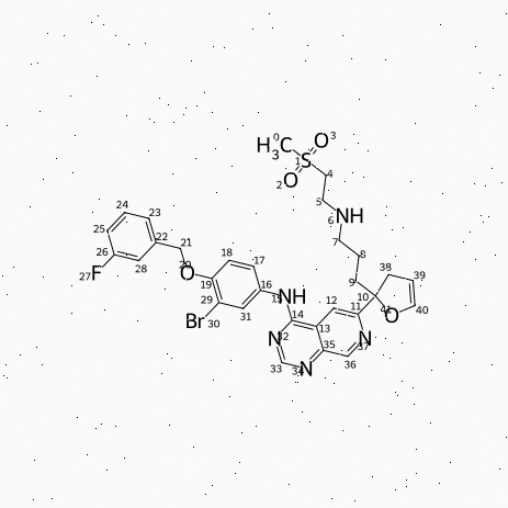 CS(=O)(=O)CCNCCCC1(c2cc3c(Nc4ccc(OCc5cccc(F)c5)c(Br)c4)ncnc3cn2)CC=CO1